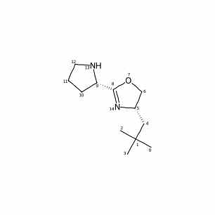 CC(C)(C)C[C@H]1COC([C@@H]2CCCN2)=N1